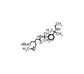 C=CNC(C)(C)c1cccc(C(C)(C)NC(=O)CC(COCCCC)CN2CC2C)c1